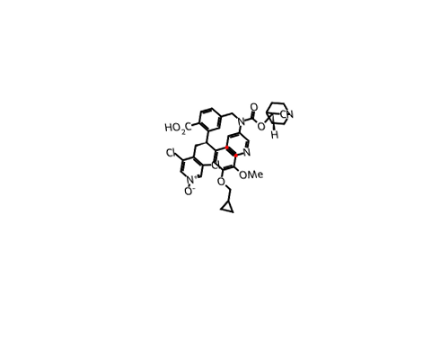 COc1ccc([C@@H](Cc2c(Cl)c[n+]([O-])cc2Cl)c2cc(CN(C(=O)O[C@H]3CN4CCC3CC4)c3cccnc3)ccc2C(=O)O)cc1OCC1CC1